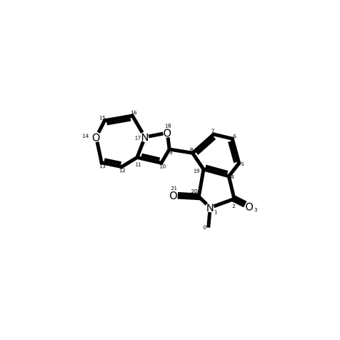 CN1C(=O)c2cccc(C3C=C4C=COC=CN4O3)c2C1=O